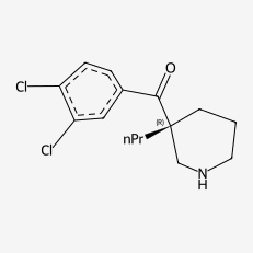 CCC[C@@]1(C(=O)c2ccc(Cl)c(Cl)c2)CCCNC1